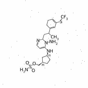 CC(CC1N=CC=C(N[C@H]2CC[C@@H](COS(N)(=O)=O)C2)N1N)C1=CC(SC(F)(F)F)=CCC1